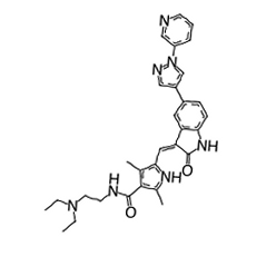 CCN(CC)CCNC(=O)c1c(C)[nH]c(/C=C2\C(=O)Nc3ccc(-c4cnn(-c5cccnc5)c4)cc32)c1C